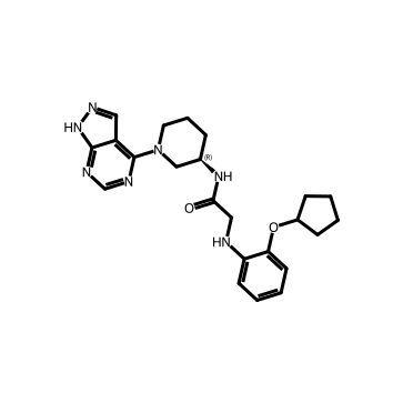 O=C(CNc1ccccc1OC1CCCC1)N[C@@H]1CCCN(c2ncnc3[nH]ncc23)C1